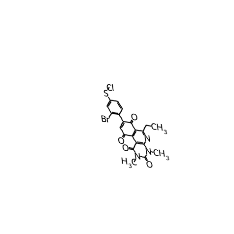 CCc1nc2c(c3c1C(=O)C(c1ccc(SCl)cc1Br)=CC3=O)c(=O)n(C)c(=O)n2C